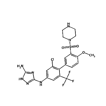 COc1ccc(-c2c(Cl)cc(Nc3n[nH]c(N)n3)cc2C(F)(F)F)cc1S(=O)(=O)N1CCNCC1